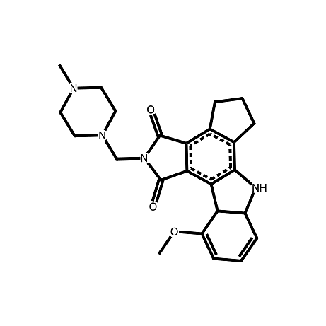 COC1=CC=CC2Nc3c4c(c5c(c3C12)C(=O)N(CN1CCN(C)CC1)C5=O)CCC4